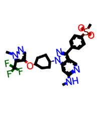 CNc1cc2c(cn1)c(-c1ccc(S(C)(=O)=O)cc1)nn2[C@H]1CC[C@@H](Oc2cnn(C)c2C(F)(F)F)CC1